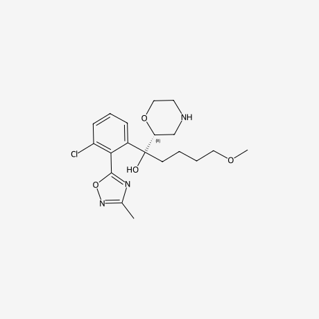 COCCCCC(O)(c1cccc(Cl)c1-c1nc(C)no1)[C@H]1CNCCO1